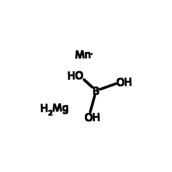 OB(O)O.[MgH2].[Mn]